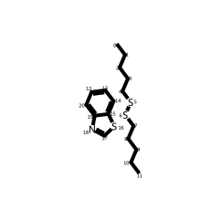 CCCCCSSCCCCC.c1ccc2scnc2c1